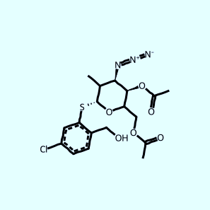 CC(=O)OCC1O[C@H](Sc2cc(Cl)ccc2CO)C(C)[C@@H](N=[N+]=[N-])[C@H]1OC(C)=O